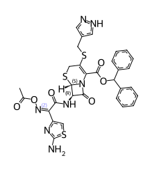 CC(=O)O/N=C(\C(=O)N[C@@H]1C(=O)N2C(C(=O)OC(c3ccccc3)c3ccccc3)=C(SCc3cn[nH]c3)CS[C@@H]12)c1csc(N)n1